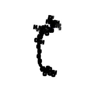 C=N/C(=C\C(=C/C)c1nc(C(=O)Nc2cn(-c3ccc(C(=O)NCCOCCOCCOCCOCC#Cc4ccc5c(c4)C(=O)N(C4CCC(=O)NC4=O)C5=O)cc3)nc2C(N)=O)co1)NCC(F)(F)F